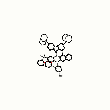 CC(C)(C)c1ccc(N2c3cc4c(cc3B3c5c2cc2ccccc2c5-c2cc(C56CCCC(CCC5)C6)cc5c6cc(C78CCCC(CCC7)C8)ccc6n3c25)C(C)(C)c2ccccc2-4)c(-c2ccccc2)c1